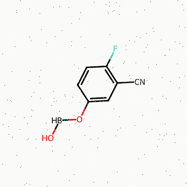 N#Cc1cc(OBO)ccc1F